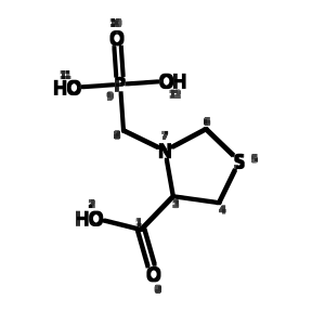 O=C(O)C1CSCN1CP(=O)(O)O